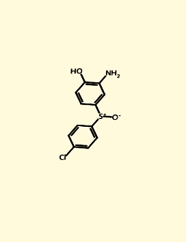 Nc1cc([S+]([O-])c2ccc(Cl)cc2)ccc1O